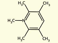 Cc1cc(C)c(C)[n+](C)c1C